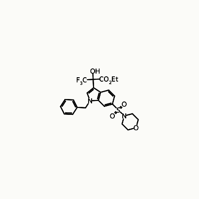 CCOC(=O)C(O)(c1cn(Cc2ccccc2)c2cc(S(=O)(=O)N3CCOCC3)ccc12)C(F)(F)F